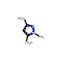 Cn1nc(C(=O)O)cc1C(=O)O